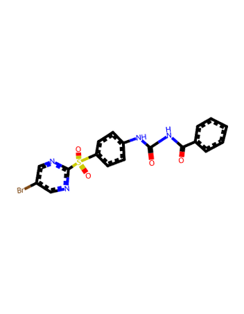 O=C(NC(=O)c1ccccc1)Nc1ccc(S(=O)(=O)c2ncc(Br)cn2)cc1